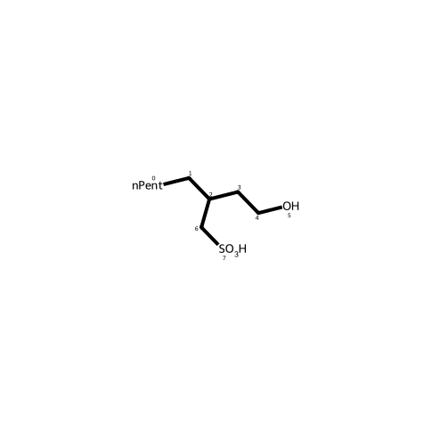 CCCCCCC(CCO)CS(=O)(=O)O